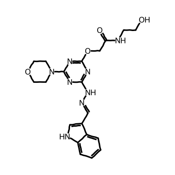 O=C(COc1nc(NN=Cc2c[nH]c3ccccc23)nc(N2CCOCC2)n1)NCCO